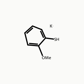 COc1ccccc1S.[K]